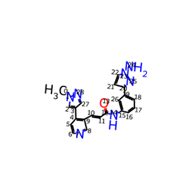 Cn1cc(-c2ccncc2/C=C/C(=O)Nc2cccc(-c3ccn(N)n3)c2)cn1